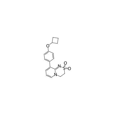 O=S1(=O)CCN2C=CC=C(c3ccc(OC4CCC4)cc3)C2=N1